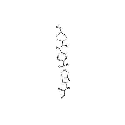 C=CC(=O)Nc1cc2c(s1)CN(S(=O)(=O)c1ccc(NC(=O)C3CCC(C(C)(C)C)CC3)cc1)C2